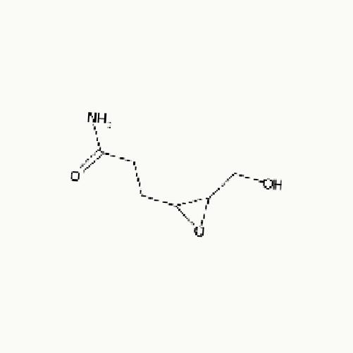 NC(=O)CCC1OC1CO